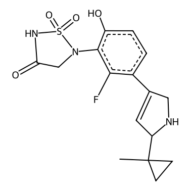 CC1(C2C=C(c3ccc(O)c(N4CC(=O)NS4(=O)=O)c3F)CN2)CC1